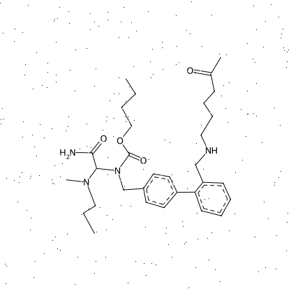 CCCCOC(=O)N(Cc1ccc(-c2ccccc2CNCCCCC(C)=O)cc1)C(C(N)=O)N(C)CCC